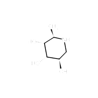 C[C@H]1NC[C@@H](O)[C@H](O)[C@@H]1O